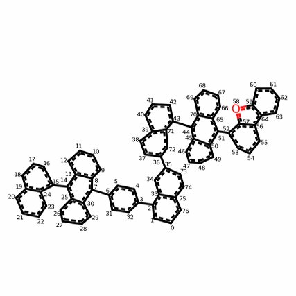 c1cc(-c2ccc(-c3c4ccccc4c(-c4cccc5ccccc45)c4ccccc34)cc2)c2cc(-c3ccc4cccc(-c5c6ccccc6c(-c6cccc7c6oc6ccccc67)c6ccccc56)c4c3)ccc2c1